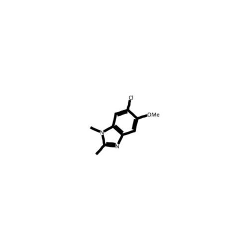 COc1cc2nc(C)n(C)c2cc1Cl